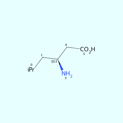 CC(C)C[C@H](N)CC(=O)O